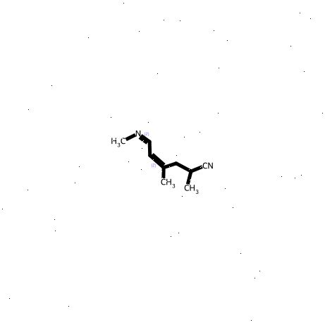 C/N=C\C=C(\C)CC(C)C#N